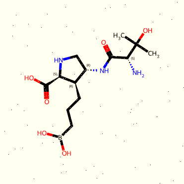 CC(C)(O)[C@H](N)C(=O)N[C@H]1CN[C@H](C(=O)O)[C@@H]1CCCB(O)O